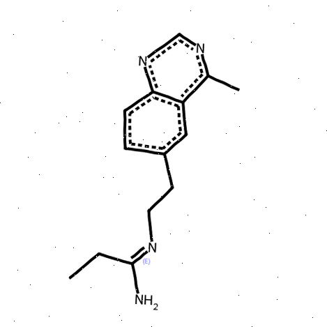 CC/C(N)=N\CCc1ccc2ncnc(C)c2c1